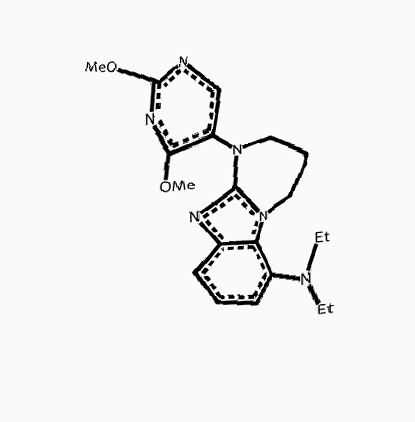 CCN(CC)c1cccc2nc3n(c12)CCCN3c1cnc(OC)nc1OC